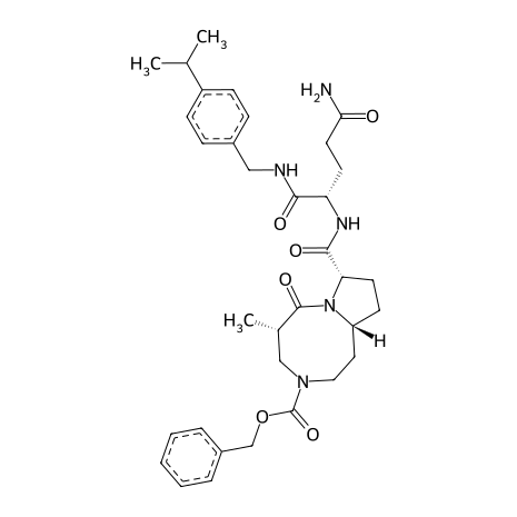 CC(C)c1ccc(CNC(=O)[C@H](CCC(N)=O)NC(=O)[C@@H]2CC[C@@H]3CCN(C(=O)OCc4ccccc4)C[C@H](C)C(=O)N32)cc1